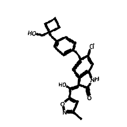 Cc1cc(/C(O)=C2\C(=O)Nc3cc(Cl)c(-c4ccc(C5(CO)CCC5)cc4)cc32)on1